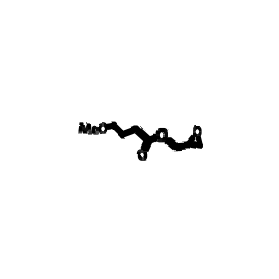 COCCCC(=O)OCC1CO1